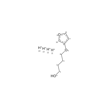 OCCCCOc1ccoc1.[H+].[H+].[H+].[H+]